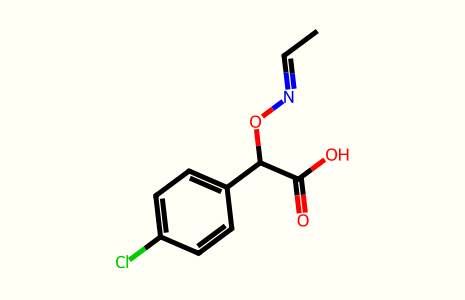 CC=NOC(C(=O)O)c1ccc(Cl)cc1